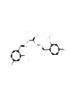 CCOc1cc(Br)ccc1/C=N/NC(=N)N/N=C/c1ccc(Br)cc1OCC.Cl